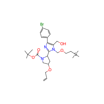 C=CCOC1CC(c2nc(-c3ccc(Br)cc3)c(CO)n2COCC[Si](C)(C)C)N(C(=O)OC(C)(C)C)C1